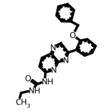 CCNC(=O)Nc1ccc2ncc(-c3ccccc3OCc3ccccc3)nc2n1